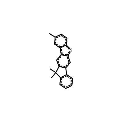 Cc1ccc2sc3cc4c(cc3c2c1)C(C)(C)c1ccccc1-4